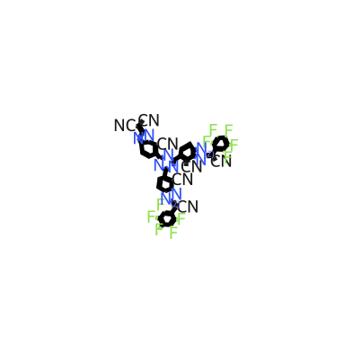 N#CC(C#N)=C1N=c2ccc(-c3nc(-c4ccc5c(c4C#N)=N/C(=C(\C#N)c4c(F)c(F)c(F)c(F)c4F)N=5)nc(-c4ccc5c(c4C#N)=N/C(=C(\C#N)c4c(F)c(F)c(F)c(F)c4F)N=5)n3)c(C#N)c2=N1